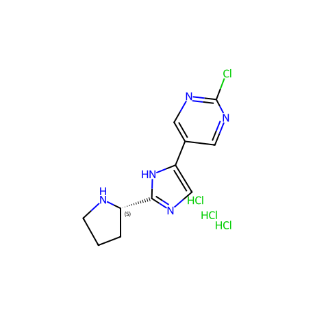 Cl.Cl.Cl.Clc1ncc(-c2cnc([C@@H]3CCCN3)[nH]2)cn1